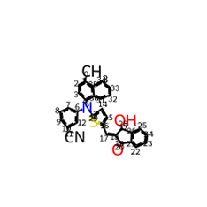 Cc1ccc(N(c2cccc(C#N)c2)c2ccc(/C=C3/C(=O)c4ccccc4C3O)s2)c2ccccc12